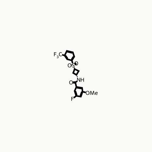 COc1cc(F)cc(C(=O)N[C@H]2C[C@H](S(=O)(=O)c3cccc(C(F)(F)F)c3)C2)c1